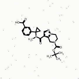 CN(C(=O)c1cnn2c1CN(C(=O)OC(C)(C)C)CC2)C1(c2cccc(C(=O)O)c2)CC1